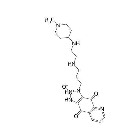 CN1CCC(NCCNCCCN2C3=C(N[NH+]2[O-])C(=O)c2cccnc2C3=O)CC1